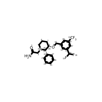 NC(=O)CN1CCC[C@H](OCc2cc(C(F)F)cc(C(F)(F)F)c2)[C@@H]1c1ccccc1